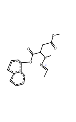 C/C=N/N(C)C(CC(=O)OC)C(=O)Oc1cccc2ccccc12